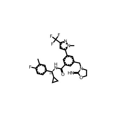 Cc1cc([C@@H](NC(=O)c2cc(CN3CCOC3=N)cc(-c3cc(C(F)(F)F)nn3C)c2)C2CC2)ccc1F